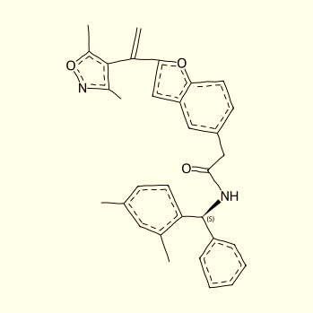 C=C(c1cc2cc(CC(=O)N[C@@H](c3ccccc3)c3ccc(C)cc3C)ccc2o1)c1c(C)noc1C